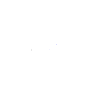 CSNN=O